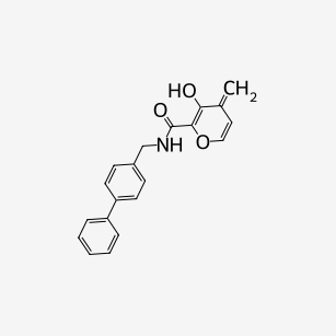 C=C1C=COC(C(=O)NCc2ccc(-c3ccccc3)cc2)=C1O